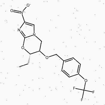 CC[C@@H]1Oc2nc([N+](=O)[O-])cn2CC1OCc1ccc(OC(F)(F)F)cc1